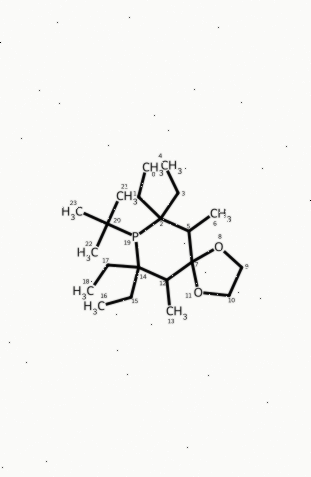 CCC1(CC)C(C)C2(OCCO2)C(C)C(CC)(CC)P1C(C)(C)C